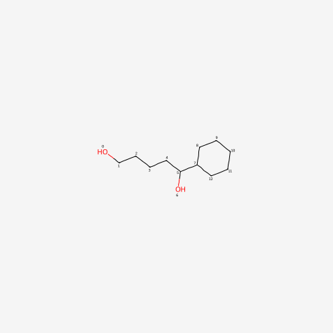 OCCCCC(O)C1CCCCC1